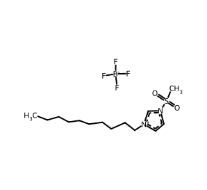 CCCCCCCCCC[n+]1ccn(S(C)(=O)=O)c1.F[B-](F)(F)F